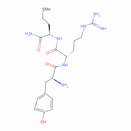 CSCC[C@@H](NC(=O)[C@H](CCCNC(=N)N)NC(=O)[C@@H](N)Cc1ccc(O)cc1)C(N)=O